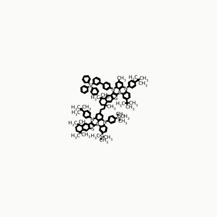 Cc1cc2c3c(c1)N(c1ccc(-c4cccc([Si](c5ccccc5)(c5ccccc5)c5ccccc5)c4)cc1)c1c(sc4cc5c(cc14)C(C)(C)CCC5(C)CCc1cc4c5c(c1)N(c1ccc(C(C)(C)C)cc1)c1c(sc6cc7c(cc16)C(C)(C)CCC7(C)C)B5c1cc([Si](C)(C)C)ccc1N4c1ccc([Si](C)(C)C)cc1)B3c1cc(C(C)(C)C)ccc1N2c1ccc(C(C)(C)C)cc1